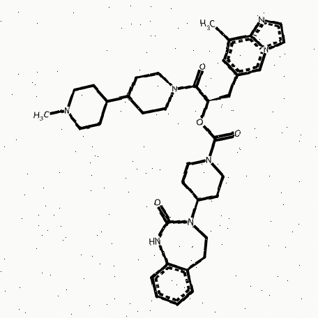 Cc1cc(C[C@@H](OC(=O)N2CCC(N3CCc4ccccc4NC3=O)CC2)C(=O)N2CCC(C3CCN(C)CC3)CC2)cn2ccnc12